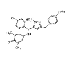 COc1ccc(Cn2cc(C(Nc3cc(C)c(=O)n(C)c3)c3ccc(Cl)cc3)c(C(=O)O)n2)cc1